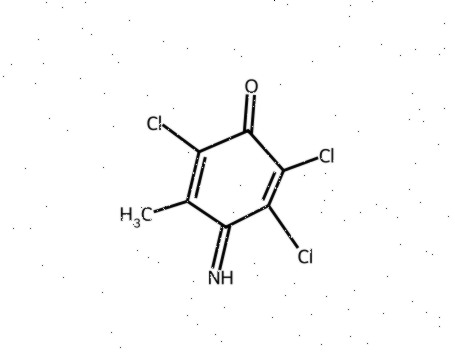 CC1=C(Cl)C(=O)C(Cl)=C(Cl)C1=N